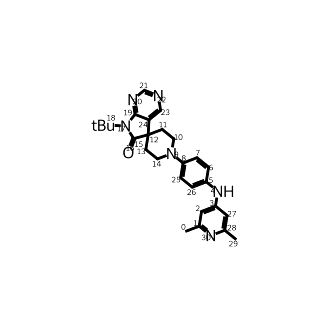 Cc1cc(Nc2ccc(N3CCC4(CC3)C(=O)N(C(C)(C)C)c3ncncc34)cc2)cc(C)n1